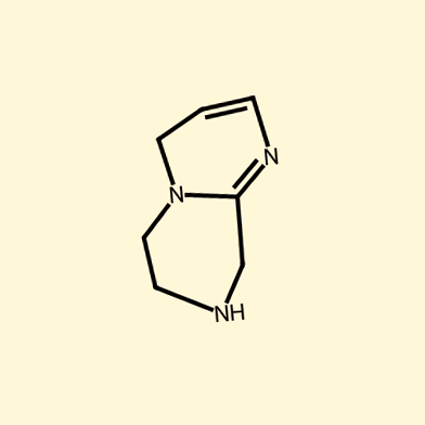 C1=CN=C2CNCCN2C1